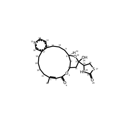 C/C1=C/C(=O)OC2C[C@@H](CCCc3ccncc3CCCC1)OC(O)(C1CSC(=O)N1)C2